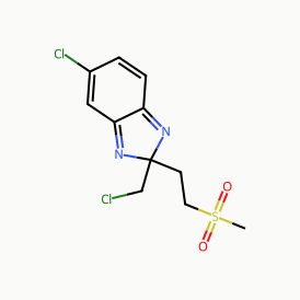 CS(=O)(=O)CCC1(CCl)N=c2ccc(Cl)cc2=N1